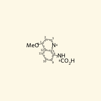 COc1ccnc2c(NC(=O)O)cccc12